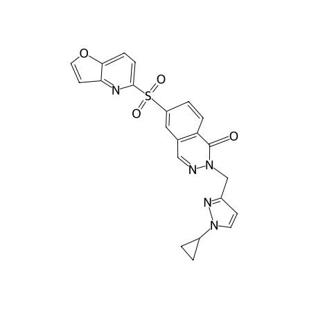 O=c1c2ccc(S(=O)(=O)c3ccc4occc4n3)cc2cnn1Cc1ccn(C2CC2)n1